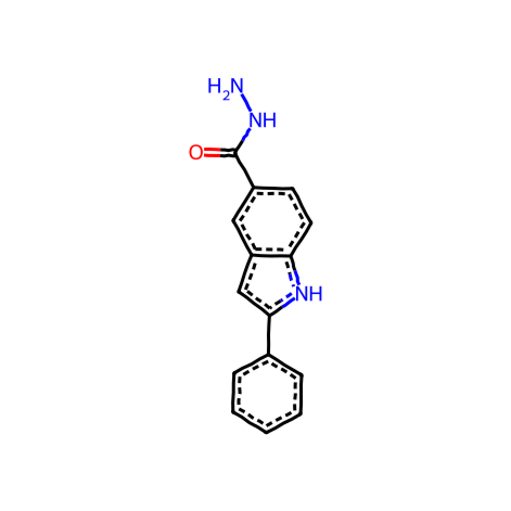 NNC(=O)c1ccc2[nH]c(-c3ccccc3)cc2c1